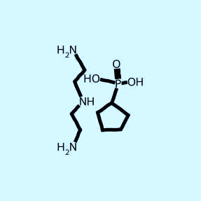 NCCNCCN.O=P(O)(O)C1CCCC1